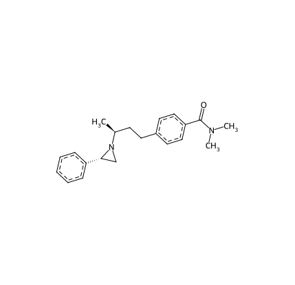 C[C@@H](CCc1ccc(C(=O)N(C)C)cc1)N1C[C@@H]1c1ccccc1